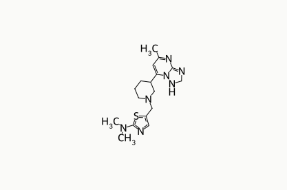 CC1=NC2=NCNN2C(C2CCCN(Cc3cnc(N(C)C)s3)C2)=C1